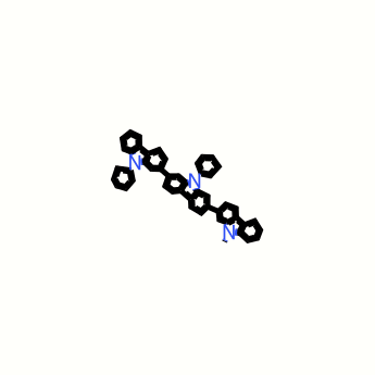 Cn1c2ccccc2c2ccc(-c3ccc4c5ccc(-c6ccc7c8ccccc8n(-c8ccccc8)c7c6)cc5n(-c5ccccc5)c4c3)cc21